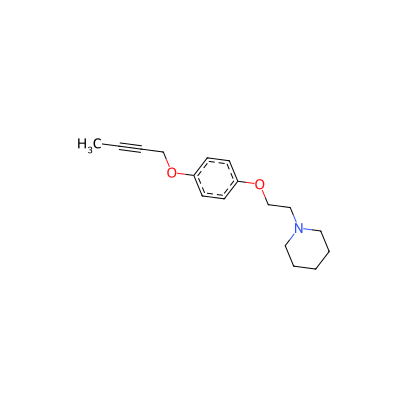 CC#CCOc1ccc(OCCN2CCCCC2)cc1